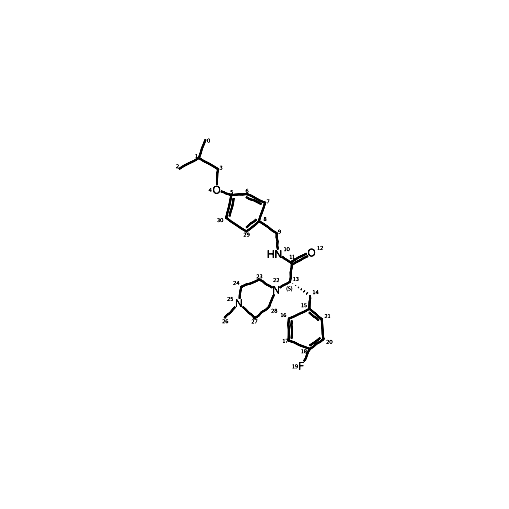 CC(C)COc1ccc(CNC(=O)[C@H](Cc2ccc(F)cc2)N2CCN(C)CC2)cc1